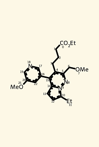 CCOC(=O)CCCc1c(COC)nn2c(CC)ccc2c1-c1cncc(OC)c1